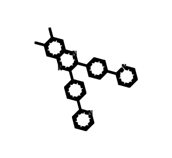 Cc1cc2nc(-c3ccc(-c4ccccn4)cc3)c(-c3ccc(-c4ccccn4)cc3)nc2cc1C